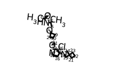 CC(=O)N[C@@H](C)CO[C@H]1C[C@H](COc2nccc(N3CC4(CCC4)C3)c2Cl)C1